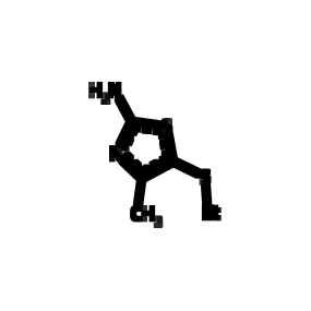 CCSc1sc(N)nc1C